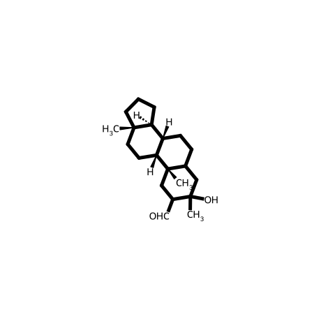 CC1(O)CC2CC[C@@H]3[C@@H](CC[C@]4(C)CCC[C@@H]34)[C@@]2(C)CC1C=O